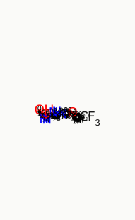 OCc1nnc(-c2ccc(N3CCC(Oc4cccc(C(F)(F)F)c4)CC3)nn2)o1